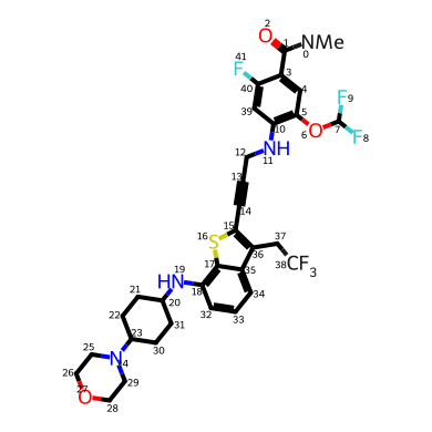 CNC(=O)c1cc(OC(F)F)c(NCC#Cc2sc3c(NC4CCC(N5CCOCC5)CC4)cccc3c2CC(F)(F)F)cc1F